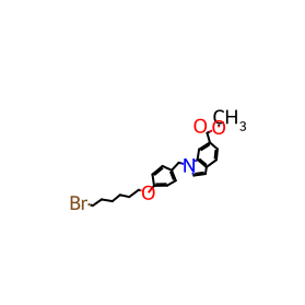 COC(=O)c1ccc2ccn(Cc3ccc(OCCCCCCBr)cc3)c2c1